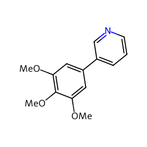 COc1cc(-c2cccnc2)cc(OC)c1OC